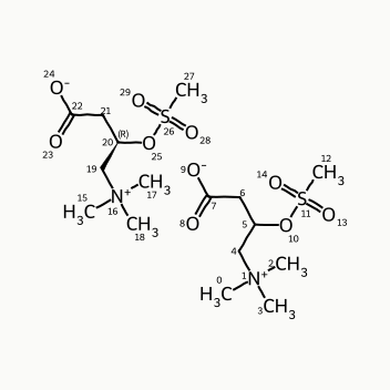 C[N+](C)(C)CC(CC(=O)[O-])OS(C)(=O)=O.C[N+](C)(C)C[C@@H](CC(=O)[O-])OS(C)(=O)=O